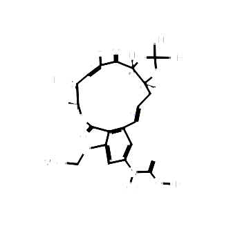 COCOc1cc(N(C)C(=O)OC(C)(C)C)cc2c1C(=O)O[C@@H](C)[C@H](C)/C=C(/F)C(=O)[C@@H]1OC(C)(C)O[C@@H]1C/C=C/2